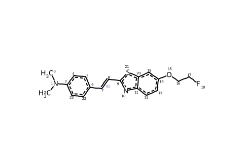 CN(C)c1ccc(/C=C/c2nc3ccc(OCCF)cc3s2)cc1